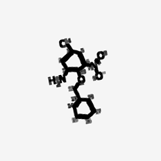 Nc1cc(Cl)cc([N+](=O)[O-])c1OCc1ccccc1